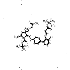 CC(=O)COCC1(C)CC(C)N(C(=O)OC(C)(C)C)C1COC1CC=C(c2cccc(F)c2O/C=C/C(=O)OC(C)(C)C)CC1